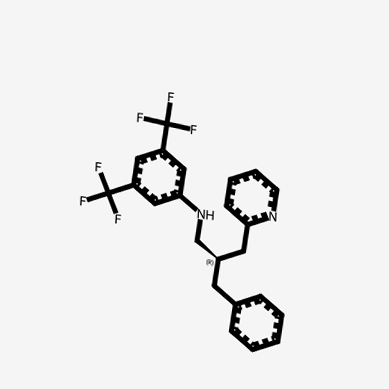 FC(F)(F)c1cc(NC[C@H](Cc2ccccc2)Cc2ccccn2)cc(C(F)(F)F)c1